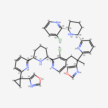 CC(Cc1ccnc([C@@H]2CCC[C@H](c3cccc(C4(c5cocn5)CC4)n3)N2)c1Cl)(c1cocn1)c1cccc([C@H]2CCC[C@@H](c3ncccc3Cl)N2)n1